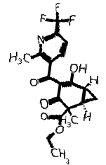 CCOC(=O)C1(C)C(=O)C(C(=O)c2ccc(C(F)(F)F)nc2C)=C(O)[C@@H]2C[C@H]21